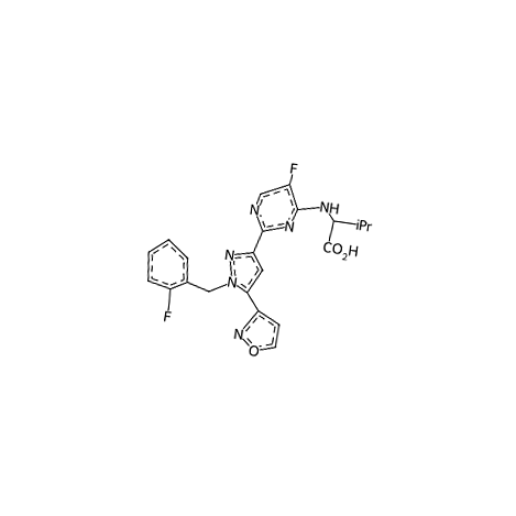 CC(C)C(Nc1nc(-c2cc(-c3ccon3)n(Cc3ccccc3F)n2)ncc1F)C(=O)O